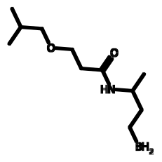 BCCC(C)NC(=O)CCOCC(C)C